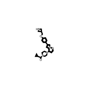 O=C(C1CC1)N1CCN(c2ccnn3cc(-c4ccc(OCC5CNC5)cc4)cc23)CC1